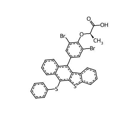 C[C@@H](Oc1c(Br)cc(-c2c3ccccc3c(Sc3ccccc3)c3sc4ccccc4c23)cc1Br)C(=O)O